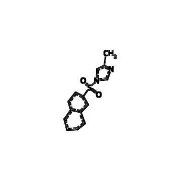 Cc1cn(S(=O)(=O)c2ccc3ccccc3c2)cn1